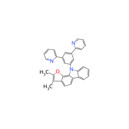 Cc1oc2c(ccc3c4ccccc4n(-c4cc(-c5ccccn5)cc(-c5ccccn5)c4)c32)c1C